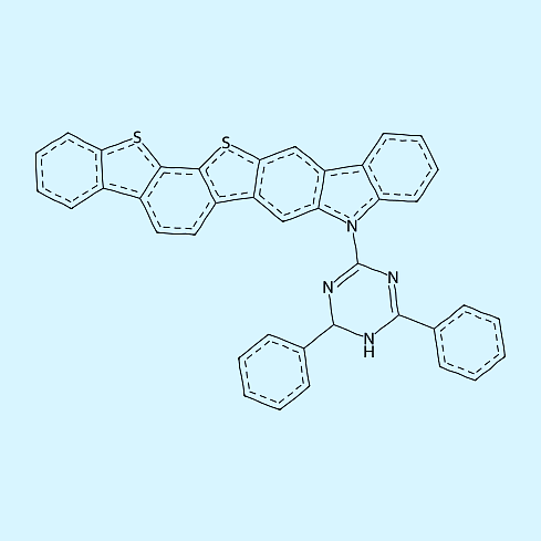 c1ccc(C2=NC(n3c4ccccc4c4cc5sc6c(ccc7c8ccccc8sc76)c5cc43)=NC(c3ccccc3)N2)cc1